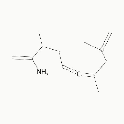 C=C(C)CC(C)=C=CCC(C)C(=C)N